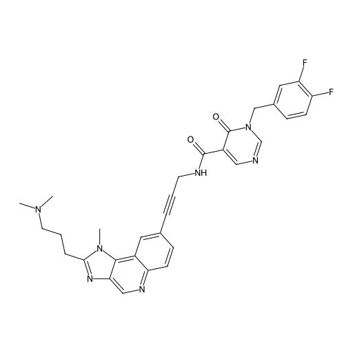 CN(C)CCCc1nc2cnc3ccc(C#CCNC(=O)c4cncn(Cc5ccc(F)c(F)c5)c4=O)cc3c2n1C